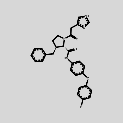 O=C(Nc1ccc(Oc2ccc(F)cc2)cc1)[C@@H]1[C@@H](Cc2ccccc2)CCN1C(=O)Cc1c[nH]cn1